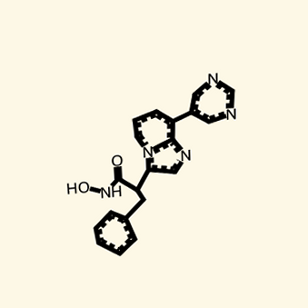 O=C(NO)C(Cc1ccccc1)c1cnc2c(-c3cncnc3)cccn12